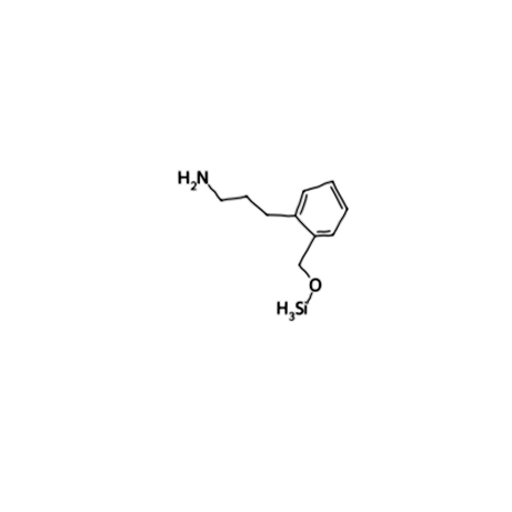 NCCCc1ccccc1CO[SiH3]